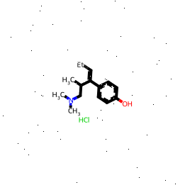 CCC=C(c1ccc(O)cc1)C(C)CN(C)C.Cl